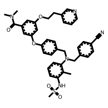 Cc1c(NS(C)(=O)=O)cccc1N(Cc1ccc(C#N)cc1)Cc1ccc(Oc2cc(OCCc3cccnc3)cc(C(=O)N(C)C)c2)cc1